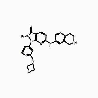 CC(C)n1c(=O)c2cnc(Nc3ccc4c(c3)CNCC4)nc2n1-c1ccnc(OC2COC2)c1